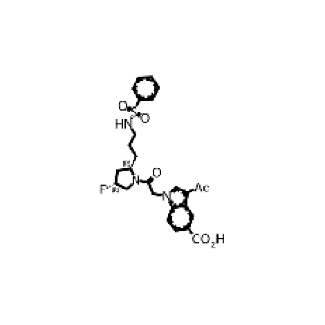 CC(=O)c1cn(CC(=O)N2C[C@H](F)C[C@H]2CCCNS(=O)(=O)c2ccccc2)c2ccc(C(=O)O)cc12